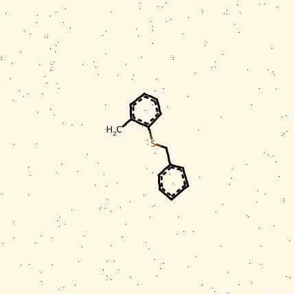 [CH2]c1ccccc1SCc1ccccc1